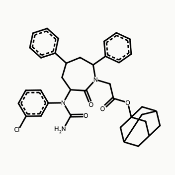 NC(=O)N(c1cccc(Cl)c1)C1CC(c2ccccc2)CC(c2ccccc2)N(CC(=O)OC23CC4CC(CC(C4)C2)C3)C1=O